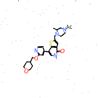 CC(=O)N1CCN(Cc2cc3c(=O)n(C)cc(-c4ccnc(OCC5CCOCC5)c4)c3s2)C(C)C1